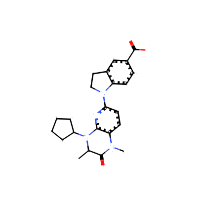 CC1C(=O)N(C)c2ccc(N3CCc4cc(C(=O)O)ccc43)nc2N1C1CCCC1